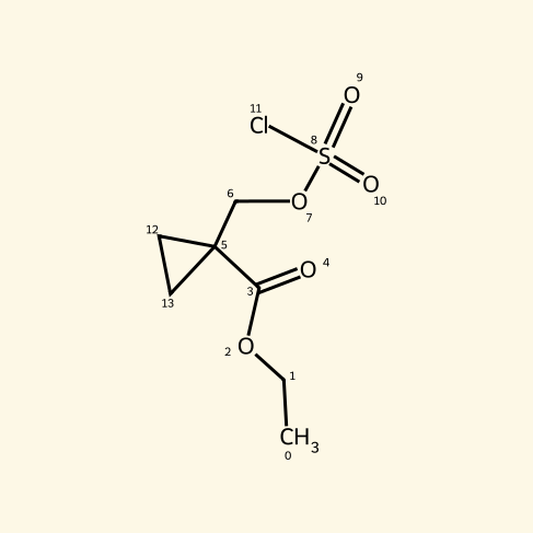 CCOC(=O)C1(COS(=O)(=O)Cl)CC1